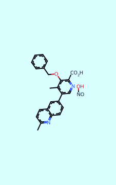 Cc1ccc2cc(-c3cnc(C(=O)O)c(OCc4ccccc4)c3C)ccc2n1.O=NO